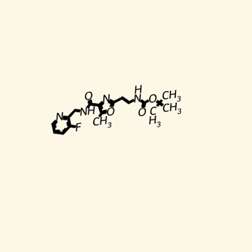 Cc1oc(CCNC(=O)OC(C)(C)C)nc1C(=O)NCc1ncccc1F